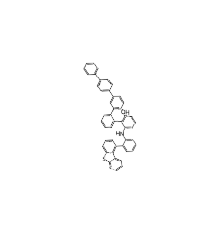 Oc1cccc(Nc2ccccc2-c2cccc3sc4ccccc4c23)c1-c1ccccc1-c1cccc(-c2ccc(-c3ccccc3)cc2)c1